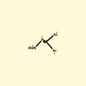 CNN=C(C(C)=O)C(C)=O